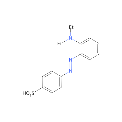 CCN(CC)c1ccccc1N=Nc1ccc(S(=O)(=O)O)cc1